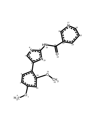 COc1ccc(-c2csc(NC(=O)c3cccnc3)n2)c(OC)c1